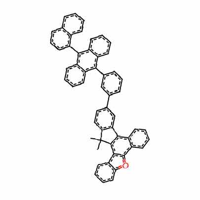 CC1(C)c2ccc(-c3cccc(-c4c5ccccc5c(-c5cccc6ccccc56)c5ccccc45)c3)cc2-c2c1c1c3ccccc3oc1c1ccccc21